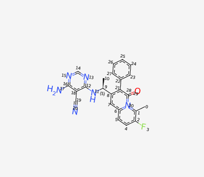 Cc1c(F)ccc2cc([C@H](C)Nc3ncnc(N)c3C#N)c(-c3ccccc3)c(=O)n12